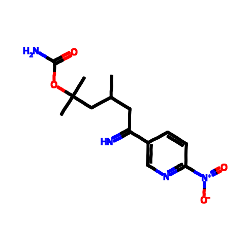 CC(CC(=N)c1ccc([N+](=O)[O-])nc1)CC(C)(C)OC(N)=O